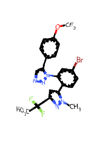 Cn1nc(C(F)(F)C(=O)O)cc1-c1ccc(Br)cc1-n1nncc1-c1ccc(OC(F)(F)F)cc1